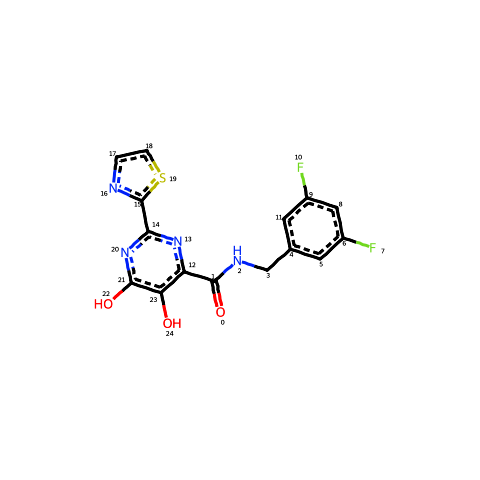 O=C(NCc1cc(F)cc(F)c1)c1nc(-c2nccs2)nc(O)c1O